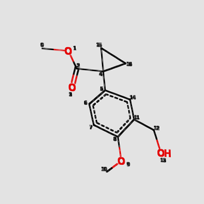 COC(=O)C1(c2ccc(OC)c(CO)c2)CC1